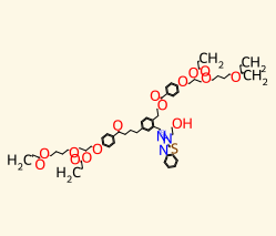 C=CC(=C)OCCCCOCC(COc1ccc(C(=O)OCCc2ccc(CCCC(=O)c3ccc(OCC(COCCCCOC(=O)C=C)OC(=O)C=C)cc3)cc2/C=N/N(CCO)c2nc3ccccc3s2)cc1)OC(=O)C=C